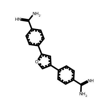 N=C(N)c1ccc(-c2coc(-c3ccc(C(=N)N)cc3)c2)cc1